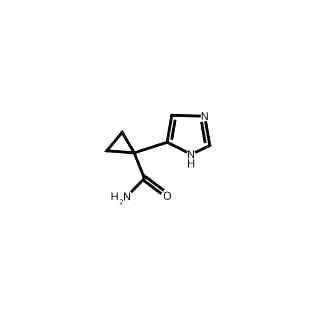 NC(=O)C1(c2cnc[nH]2)CC1